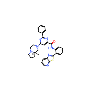 C[C@@]12CCCN1CCN(c1cc(C(=O)Nc3ccccc3-c3nc4cccnc4s3)nc(-c3ccccc3)n1)C2